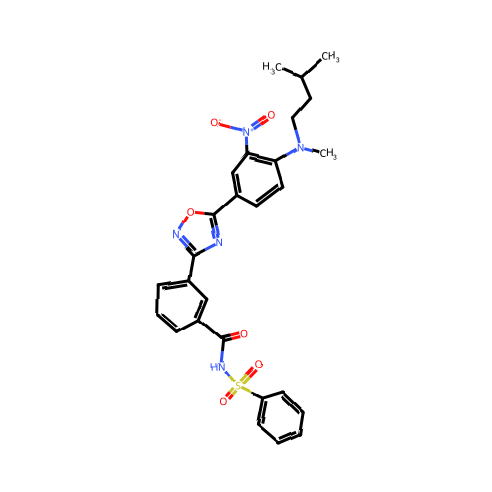 CC(C)CCN(C)c1ccc(-c2nc(-c3cccc(C(=O)NS(=O)(=O)c4ccccc4)c3)no2)cc1[N+](=O)[O-]